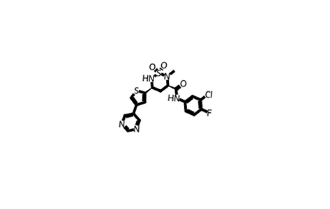 CN1[C@@H](C(=O)Nc2ccc(F)c(Cl)c2)C[C@@H](c2cc(-c3cncnc3)cs2)NS1(=O)=O